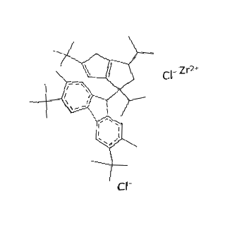 Cc1cc2c(cc1C(C)(C)C)-c1cc(C(C)(C)C)c(C)cc1C2C1(C(C)C)CC(C(C)C)C2=C1C=C(C(C)(C)C)C2.[Cl-].[Cl-].[Zr+2]